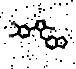 CC(C)c1cc(-c2nnc(S)n2Cc2ccc3c(c2)CCO3)ccc1O